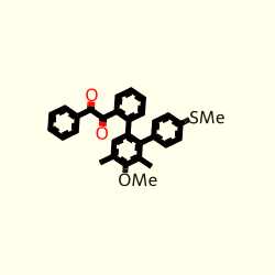 COc1c(C)cc(-c2ccccc2C(=O)C(=O)c2ccccc2)c(-c2ccc(SC)cc2)c1C